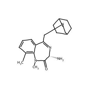 Cc1cccc2c1N(C)C(=O)[C@@H](N)N=C2CN1CC2CCC(CC2)C1